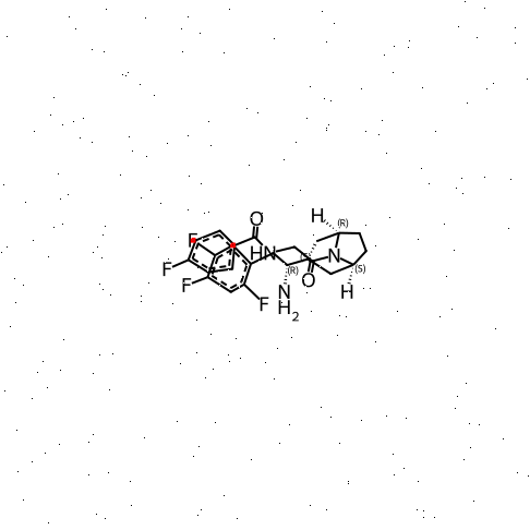 N[C@H](Cc1cc(F)c(F)cc1F)[C@@H]1C[C@H]2CC[C@@H](C1)N2C(=O)CNC(=O)c1ccc(F)cc1